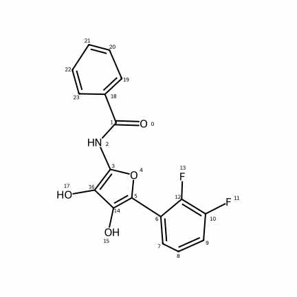 O=C(Nc1oc(-c2cccc(F)c2F)c(O)c1O)c1ccccc1